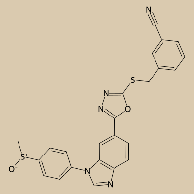 C[S+]([O-])c1ccc(-n2cnc3ccc(-c4nnc(SCc5cccc(C#N)c5)o4)cc32)cc1